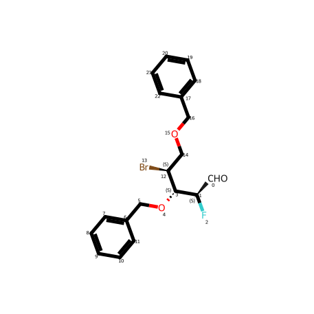 O=C[C@@H](F)[C@H](OCc1ccccc1)[C@@H](Br)COCc1ccccc1